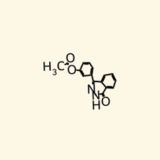 CC(=O)Oc1cccc(-c2n[nH]c(=O)c3ccccc23)c1